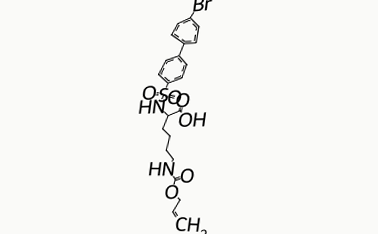 C=CCOC(=O)NCCCCC(NS(=O)(=O)c1ccc(-c2ccc(Br)cc2)cc1)C(=O)O